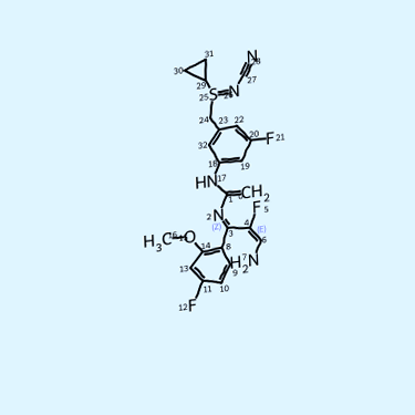 C=C(/N=C(\C(F)=C/N)c1ccc(F)cc1OC)Nc1cc(F)cc(CS(=NC#N)C2CC2)c1